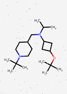 CC(C)N(CC1CCN(C(C)(C)C)CC1)C1CC(OC(C)(C)C)C1